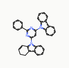 C1=Cc2c(c3ccccc3n2-c2cc(-n3c4ccccc4c4ccccc43)nc(-c3ccccc3)n2)CC1